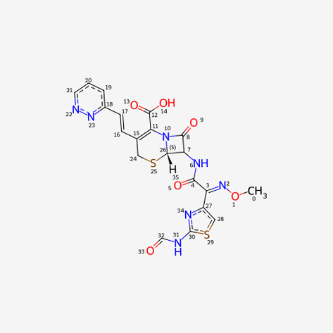 CON=C(C(=O)NC1C(=O)N2C(C(=O)O)=C(C=Cc3cccnn3)CS[C@@H]12)c1csc(NC=O)n1